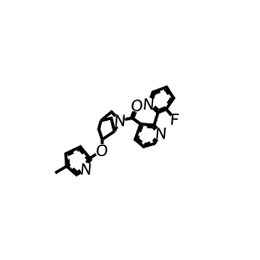 Cc1ccc(OC2CC3CC2N(C(=O)c2cccnc2-c2ncccc2F)C3)nc1